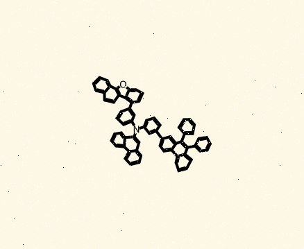 c1ccc(-c2c(-c3ccccc3)c3cc(-c4cccc(N(c5cccc(-c6cccc7oc8c9ccccc9ccc8c67)c5)c5cc6ccccc6c6ccccc56)c4)ccc3c3ccccc23)cc1